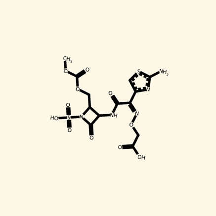 COC(=O)OCC1C(NC(=O)C(=NOCC(=O)O)c2csc(N)n2)C(=O)N1S(=O)(=O)O